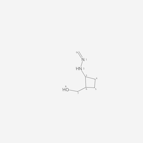 C=NNC1CCC1CO